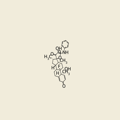 C[C@H]1C[C@H]2[C@@H]3CCC4=CC(=O)C=C[C@]4(C)[C@@]3(F)[C@@H](O)C[C@]2(C)[C@@]1(OC(=O)Nc1ccccc1)C(=O)CO